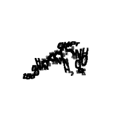 CCCN(CCCNC(=O)OC1CCC1)C(O)C1=Cc2ccc(-c3ccc(CNC(=O)OC(C)(C)C)nc3)cc2N=C(N)C1